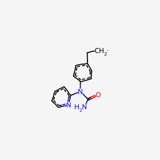 [CH2]Cc1ccc(N(C(N)=O)c2ccccn2)cc1